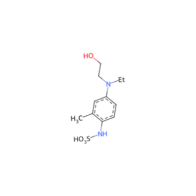 CCN(CCO)c1ccc(NS(=O)(=O)O)c(C)c1